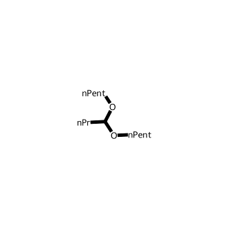 CCCCCOC(CCC)OCCCCC